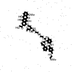 CNCCNCc1ccc(C(=O)Nc2ccc(C)c(N(C(=O)OCCSSCCOC(=O)NC3CC(O[C@H]4C[C@H](C(=O)CO)Cc5c(O)c6c(c(O)c54)C(=O)c4c(OC)cccc4C6O)OC(C)C3O)c3nccc(-c4ccccc4)n3)c2)cc1